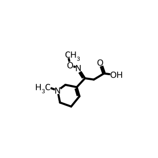 CO/N=C(/CC(=O)O)C1=CCCN(C)C1